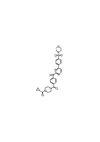 O=C(c1ccc(Nc2nccc(-c3ccc(S(=O)(=O)N4CCOCC4)cc3)n2)cc1)N1CCN(C(=O)C2CC2)CC1